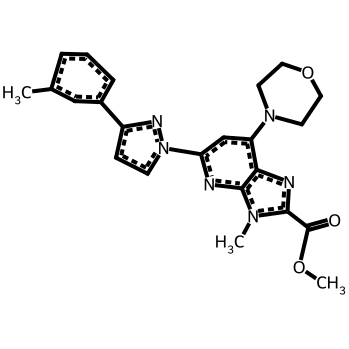 COC(=O)c1nc2c(N3CCOCC3)cc(-n3ccc(-c4cccc(C)c4)n3)nc2n1C